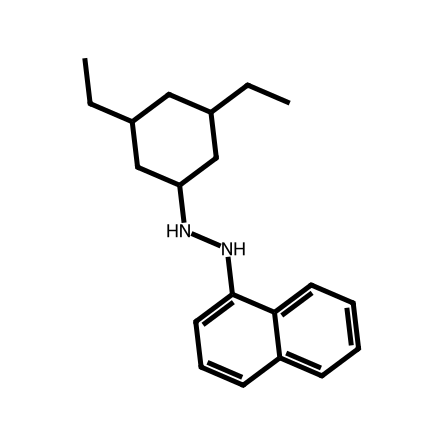 CCC1CC(CC)CC(NNc2cccc3ccccc23)C1